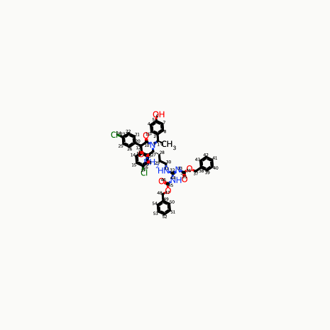 C[C@H](c1ccc(O)cc1)N(C(=O)C(c1ccc(Cl)cc1)c1ccc(Cl)cc1)[C@H](CCCNC(=NC(=O)OCc1ccccc1)NC(=O)OCc1ccccc1)C(N)=O